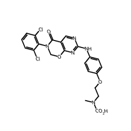 CN(CCOc1ccc(Nc2ncc3c(n2)OCN(c2c(Cl)cccc2Cl)C3=O)cc1)C(=O)O